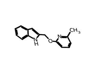 Cc1cccc(OCc2cc3ccccc3[nH]2)n1